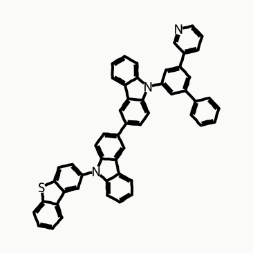 c1ccc(-c2cc(-c3cccnc3)cc(-n3c4ccccc4c4cc(-c5ccc6c(c5)c5ccccc5n6-c5ccc6sc7ccccc7c6c5)ccc43)c2)cc1